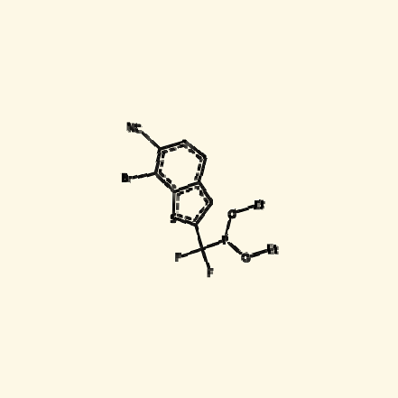 CCOP(OCC)C(F)(F)c1cc2ccc(C#N)c(Br)c2s1